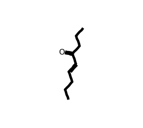 CCC/C=C/C(=O)CCC